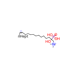 CCCCCCC/C=C\CCCCCCCCCCC(O)(C[N+](C)(C)C)P(=O)(O)O